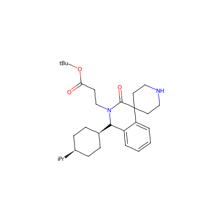 CC(C)[C@H]1CC[C@@H](C2c3ccccc3C3(CCNCC3)C(=O)N2CCC(=O)OC(C)(C)C)CC1